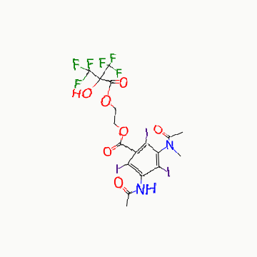 CC(=O)Nc1c(I)c(C(=O)OCCOC(=O)C(O)(C(F)(F)F)C(F)(F)F)c(I)c(N(C)C(C)=O)c1I